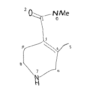 CNC(=O)C1=C(C)CNCC1